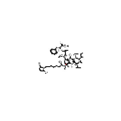 CC[C@H](C)[C@@H]([C@@H](CC(=O)N1CCC[C@H]1[C@H](OC)[C@@H](C)C(=O)N[C@@H](Cc1ccccc1)C(=O)O)OC)N(C)[C@H](C(=O)NC(=O)C(C)(C)N(C)C(=O)CCCCCCN1C(=O)C=CC1=O)C(C)C